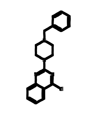 Clc1nc(N2CCN(Cc3ccccc3)CC2)nc2ccccc12